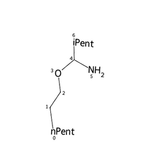 CCCCCCCOC(N)C(C)CCC